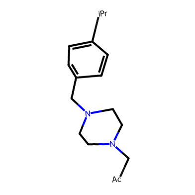 CC(=O)CN1CCN(Cc2ccc(C(C)C)cc2)CC1